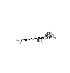 CCCCCCCCCCCCOB(OC)OC.N